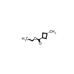 CCOC(=O)[C@H]1C[C@H](C)C1